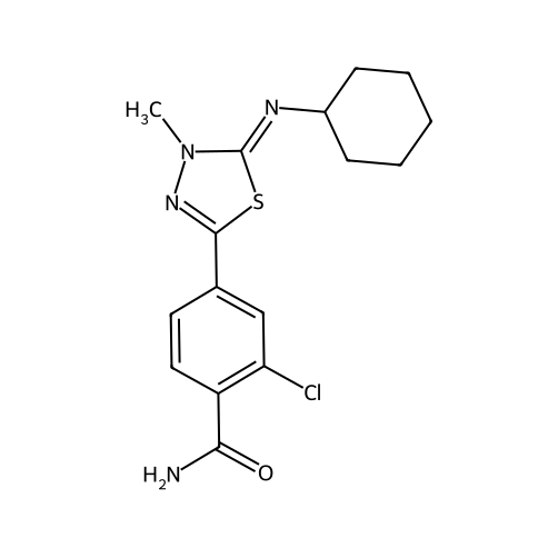 Cn1nc(-c2ccc(C(N)=O)c(Cl)c2)sc1=NC1CCCCC1